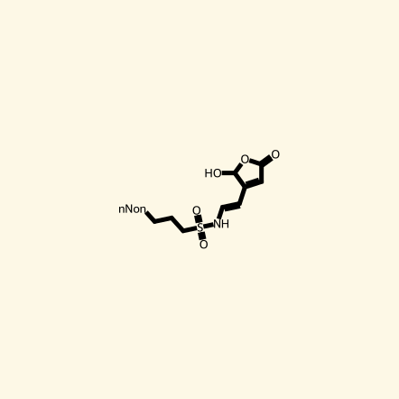 CCCCCCCCCCCCS(=O)(=O)N/C=C/C1=CC(=O)OC1O